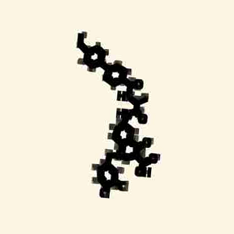 CCc1ccc(-c2ccc(C(=O)N[C@@H](C)C(=O)Nc3ccc4c(c3)c(=O)c(C(=O)O)cn4Cc3ccc(Cl)c(Cl)c3)cc2)cc1